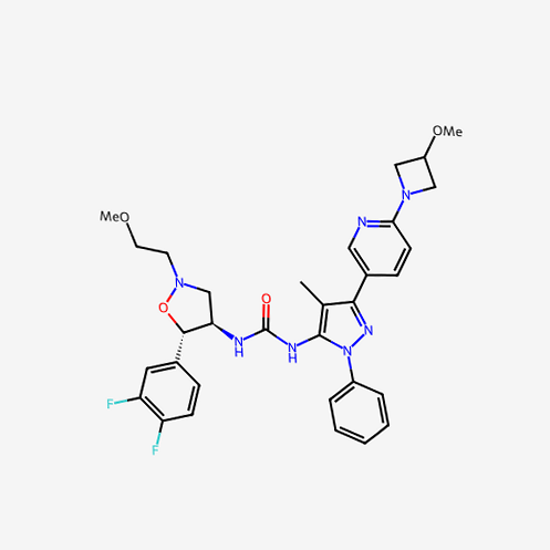 COCCN1C[C@@H](NC(=O)Nc2c(C)c(-c3ccc(N4CC(OC)C4)nc3)nn2-c2ccccc2)[C@H](c2ccc(F)c(F)c2)O1